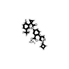 COC(=O)c1cc(NC(=O)C2(c3cc(C(F)(F)F)ccc3F)CC2)ccc1-c1cnn(C2CCC2)c1